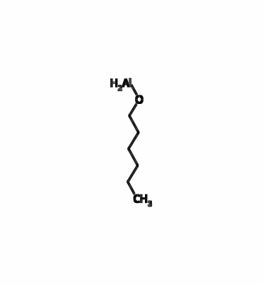 CCCCCC[O][AlH2]